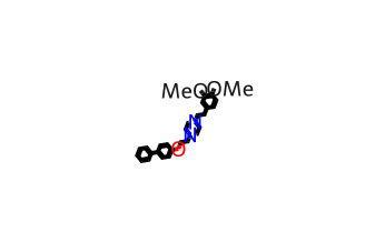 COc1ccc(CCN2CCN(CCOc3ccc(-c4ccccc4)cc3)CC2)cc1OC